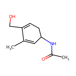 CC(=O)NC1C=C(C)C(CO)=CC1